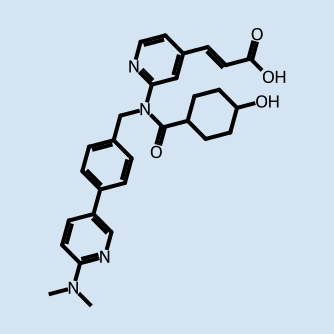 CN(C)c1ccc(-c2ccc(CN(C(=O)C3CCC(O)CC3)c3cc(C=CC(=O)O)ccn3)cc2)cn1